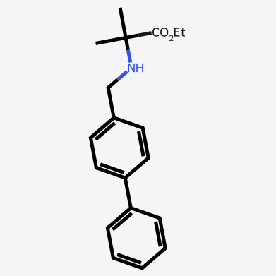 CCOC(=O)C(C)(C)NCc1ccc(-c2ccccc2)cc1